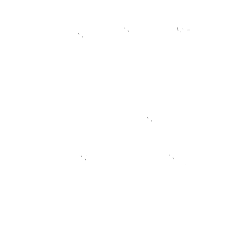 COc1cc(-c2cc(N3CCOC[C@H]3C)cc(N)n2)c2cc[nH]c2n1